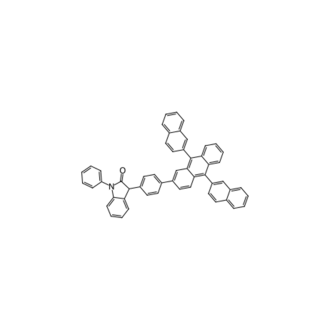 O=C1C(c2ccc(-c3ccc4c(-c5ccc6ccccc6c5)c5ccccc5c(-c5ccc6ccccc6c5)c4c3)cc2)c2ccccc2N1c1ccccc1